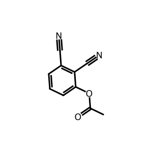 CC(=O)Oc1cccc(C#N)c1C#N